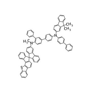 CN(c1ccc2c(c1)-c1ccccc1C21c2ccccc2-c2c1ccc1c2sc2ccccc21)c1ccc(-c2ccc(N(c3ccc(-c4ccccc4)cc3)c3ccc4c(c3)C(C)(C)c3ccccc3-4)cc2)cc1-c1ccccc1